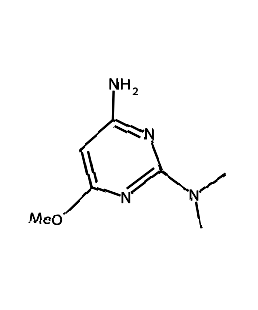 COc1cc(N)nc(N(C)C)n1